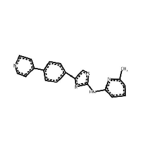 Cc1cccc(Nc2nc(-c3ccc(-c4ccncc4)cc3)cs2)n1